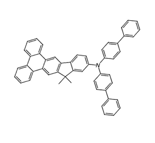 CC1(C)c2cc(N(c3ccc(-c4ccccc4)cc3)c3ccc(-c4ccccc4)cc3)ccc2-c2cc3c4ccccc4c4ccccc4c3cc21